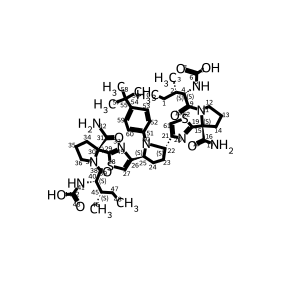 CC[C@H](C)[C@H](NC(=O)O)C(=O)N1CCC[C@]1(C(N)=O)c1nc([C@@H]2CC[C@@H](c3csc([C@@]4(C(N)=O)CCCN4C(=O)[C@@H](NC(=O)O)[C@@H](C)CC)n3)N2c2ccc(C(C)(C)C)cc2)cs1